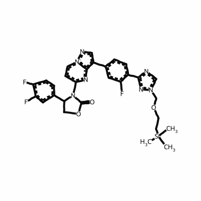 C[Si](C)(C)CCOCn1cnc(-c2ccc(-c3cnn4ccc(N5C(=O)OCC5c5ccc(F)c(F)c5)nc34)cc2F)n1